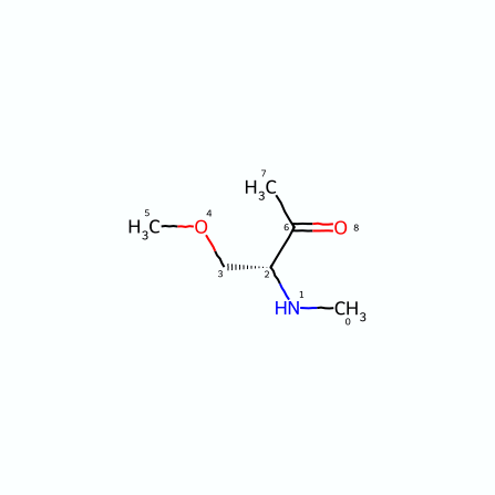 CN[C@H](COC)C(C)=O